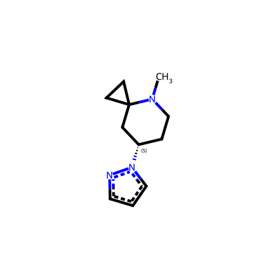 CN1CC[C@H](n2cccn2)CC12CC2